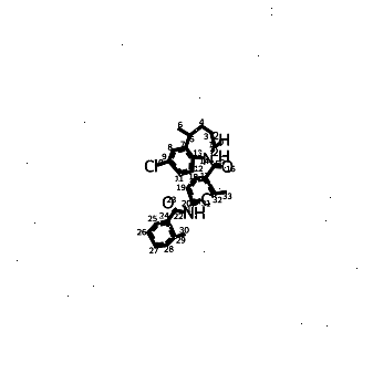 [2H]C1([2H])CCC(C)c2cc(Cl)ccc2N1C(=O)c1ccc(NC(=O)c2ccccc2C)cc1C